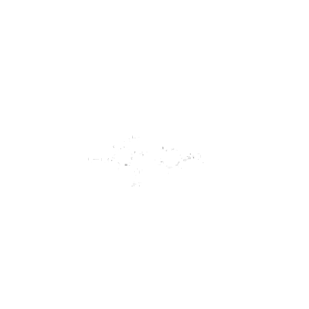 CC(C)Oc1cc(C=O)cc(Br)c1OCc1ccc([N+](=O)[O-])cc1